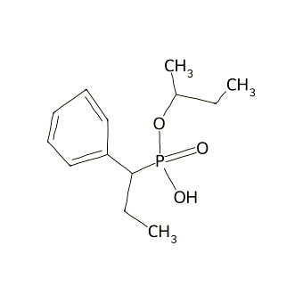 CCC(C)OP(=O)(O)C(CC)c1ccccc1